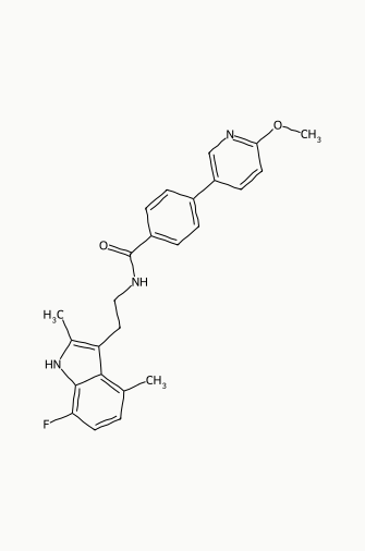 COc1ccc(-c2ccc(C(=O)NCCc3c(C)[nH]c4c(F)ccc(C)c34)cc2)cn1